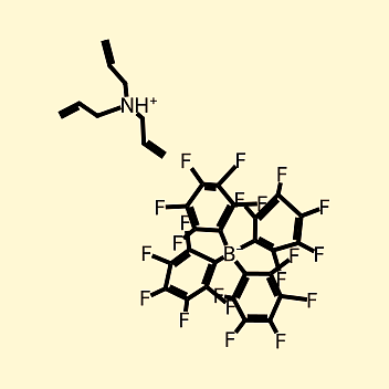 C=CC[NH+](CC=C)CC=C.Fc1c(F)c(F)c([B-](c2c(F)c(F)c(F)c(F)c2F)(c2c(F)c(F)c(F)c(F)c2F)c2c(F)c(F)c(F)c(F)c2F)c(F)c1F